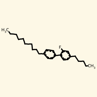 CCCCCCCCCCc1ccc(-c2ccc(CCCCC)cc2F)cc1